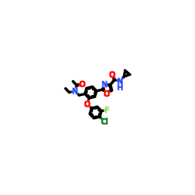 CCN(Cc1ccc(-c2nc(C(=O)NC3CC3)co2)cc1Oc1ccc(Cl)c(F)c1)C(C)=O